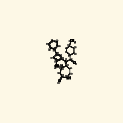 CC1CCC(C(=O)N(c2cc(-c3ccccc3)sc2C(=O)O)C2CCNC(=O)CC2)CC1